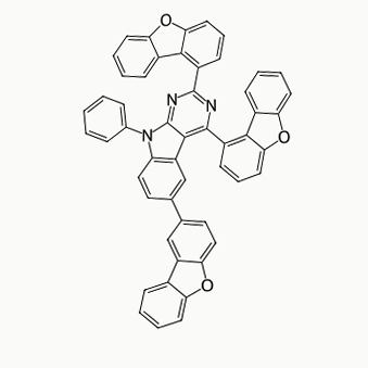 c1ccc(-n2c3ccc(-c4ccc5oc6ccccc6c5c4)cc3c3c(-c4cccc5oc6ccccc6c45)nc(-c4cccc5oc6ccccc6c45)nc32)cc1